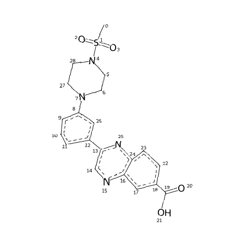 CS(=O)(=O)N1CCN(c2cccc(-c3cnc4cc(C(=O)O)ccc4n3)c2)CC1